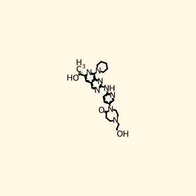 C[C@@H](O)c1cc2cnc(Nc3ccc(N4CCN(CCO)CCC4=O)cn3)nc2c(N2CCCCC2)n1